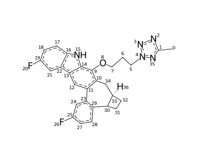 Cc1nnn(CCCOc2c3c(cc4c2[nH]c2ccc(F)cc24)-c2cc(F)ccc2C2CC[C@@H]2C3)n1